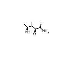 CC(=N)NC(=O)C(N)=O